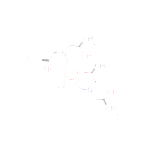 C=C(O)CN(CO[PH](=O)OCN(CC(=C)O)CC(=C)O)CC(=C)O